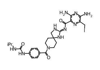 CC(C)NC(=O)Nc1ccc(C(=O)N2CCC3(CC2)CN/C(=N\C(=O)c2nc(CI)c(N)nc2N)N3)cc1